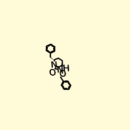 O=C1N2C[C@@H](CC[C@H]2Cc2ccccc2)N1OCc1ccccc1